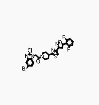 O=C(Cn1c(Cl)nc2cc(Br)ccc21)N1CCC(c2nc(C3=NOC(c4c(F)cccc4F)C3)cs2)CC1